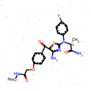 CONC(=O)COc1ccc(C(=O)c2sc(N(c3ccc(F)cc3)[C@H](C)C(N)=O)nc2N)cc1